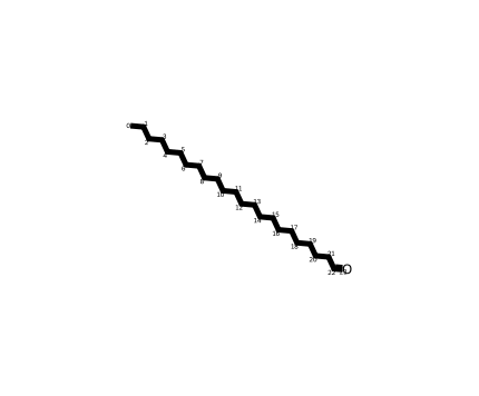 CCCCCCCCCCCCCCCCCCCCCCC=O